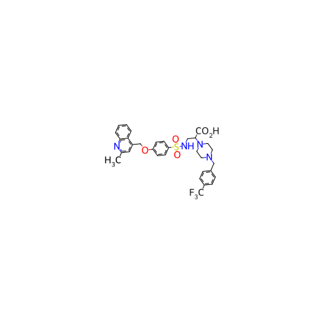 Cc1cc(COc2ccc(S(=O)(=O)NCC(C(=O)O)N3CCN(Cc4ccc(C(F)(F)F)cc4)CC3)cc2)c2ccccc2n1